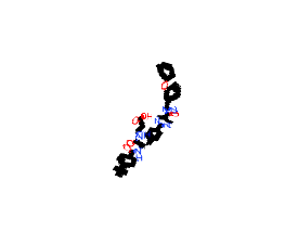 CC(C)(C)c1ccc(C(=O)N[C@@H](Cc2ccc(-c3ncc(-c4nc(-c5cccc(Oc6ccccc6)c5)no4)cn3)cc2)C(=O)NCCC(=O)O)cc1